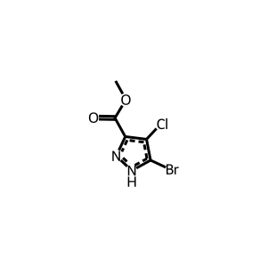 COC(=O)c1n[nH]c(Br)c1Cl